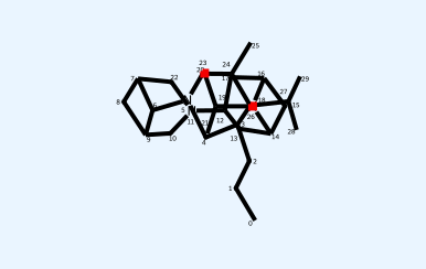 CCCC1CN(C2C3CC2CN(C2CC4CC(C2)N4C(C)C)C3)CC(C)C1C(C)C